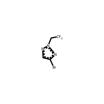 FC(F)(F)Cn1ncc(Br)n1